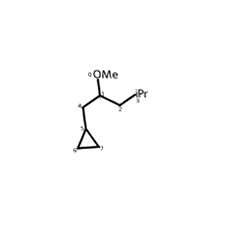 CO[C](CC(C)C)CC1CC1